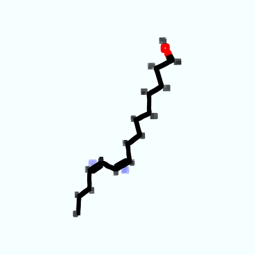 CCC/C=C\C=C/CCCCCCCC=O